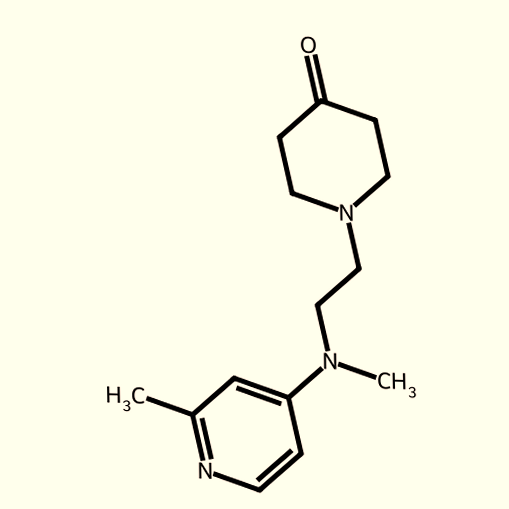 Cc1cc(N(C)CCN2CCC(=O)CC2)ccn1